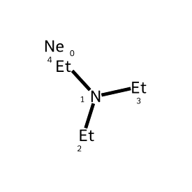 CCN(CC)CC.[Ne]